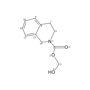 O=C(OCO)N1CCc2ccccc2C1